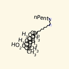 CCCCC/C=C\C/C=C\CCCCCCCCO[C@H]1CC[C@@]2(C)C(CC[C@]3(C)[C@@H]2CC=C2[C@@H]4[C@@H](C)[C@H](C)CC[C@]4(C(=O)O)CC[C@]23C)C1(C)C